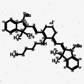 CCCCN1/C(=C/C=C2\CCCC(/C=C/C3=[N+](CCCC)c4ccccc4C3(C)C)=C2NCCCCN)C(C)(C)c2ccccc21.[I-]